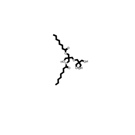 CCCCCCCC(=O)OCC(CO)(COCC(CO)(CO)CO)COC(=O)CCCCCCC